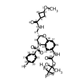 COC1CC(C(=O)NC[C@H]2CN(S(=O)(=O)c3ccc(F)cc3)c3cc(NC(=O)OC(C)(C)C(F)(F)F)ccc3O2)C1